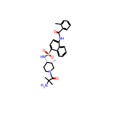 Cc1ccccc1C(=O)Nc1ccc(S(=O)(=O)N[C@H]2CCN(C(=O)C(C)(C)N)C[C@H]2C)c2ccccc12